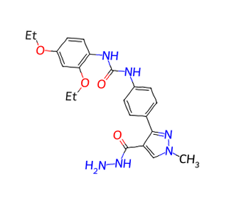 CCOc1ccc(NC(=O)Nc2ccc(-c3nn(C)cc3C(=O)NN)cc2)c(OCC)c1